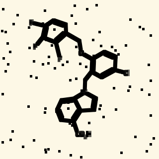 O=C(O)c1cccc2c1ccn2Cc1cc(Cl)ccc1OCc1ccc(F)c(F)c1F